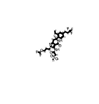 CCc1cc(CCC(F)(F)F)ccc1[C@@]1(C)Cc2nn(CCCOC(F)F)c(NC(=O)CS(C)(=O)=O)c2C(=O)N1